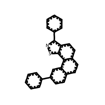 c1ccc(-c2ccc3ccc4ccc5c(-c6ccccc6)nsc5c4c3c2)cc1